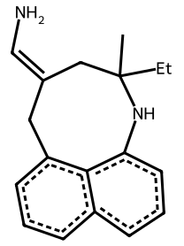 CCC1(C)C/C(=C\N)Cc2cccc3cccc(c23)N1